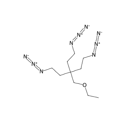 CCOCC(CCN=[N+]=[N-])(CCN=[N+]=[N-])CCN=[N+]=[N-]